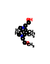 COc1cccc(C2=Cc3c(n(-c4ccccc4)c4c5c6c(cc34)C(C)C(C)c3cc4c7cc(-c8cccc(O)c8)ccc7n(-c7ccccc7)c4c(c3-6)C(C)C5C)CC2)c1